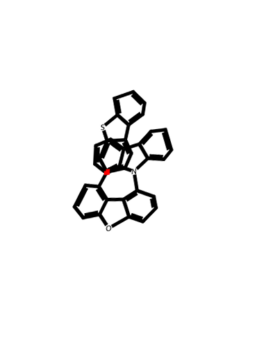 c1cc(-c2ccc3c(c2)sc2ccccc23)c2c(c1)oc1cccc(-n3c4ccccc4c4ccccc43)c12